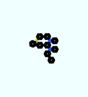 c1ccc(-c2cccc(N(c3ccccc3)c3cc(-c4ccc5c(c4)sc4ccccc45)cc(N(c4ccccc4)c4cccc(-c5ccccc5)c4)c3)c2)cc1